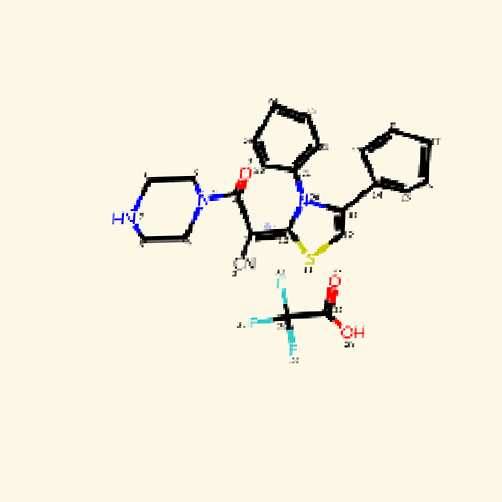 N#C/C(C(=O)N1CCNCC1)=C1\SC=C(c2ccccc2)N1c1ccccc1.O=C(O)C(F)(F)F